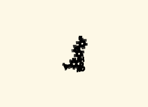 O=NC(=O)c1cc(C2CC2)cnc1Nc1ccc2c(ccn2-c2cccc(F)c2)c1